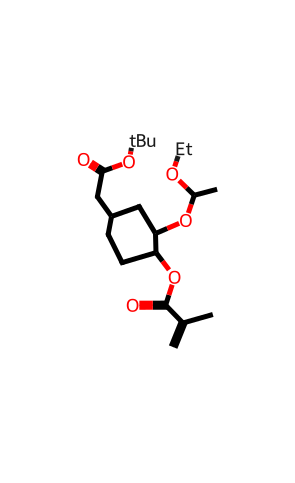 C=C(C)C(=O)OC1CCC(CC(=O)OC(C)(C)C)CC1OC(C)OCC